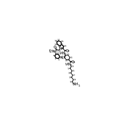 CCc1cccc(N(CC)C(=O)Cn2c(C(=O)NC3CCC(C(=O)NCCCCCCCCN)CC3)cc3ccccc32)c1